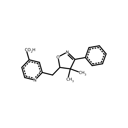 CC1(C)C(c2ccccc2)=NOC1Cc1cc(C(=O)O)ccn1